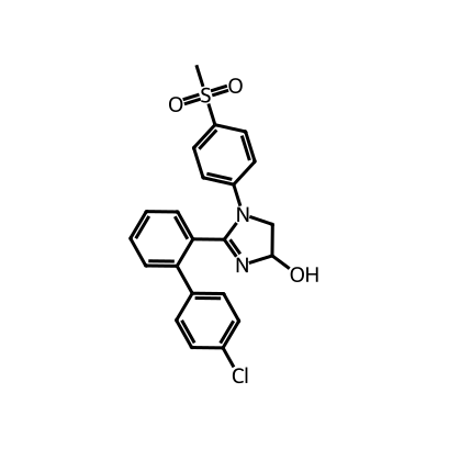 CS(=O)(=O)c1ccc(N2CC(O)N=C2c2ccccc2-c2ccc(Cl)cc2)cc1